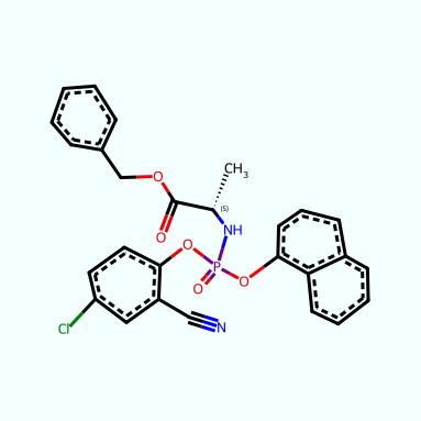 C[C@H](NP(=O)(Oc1ccc(Cl)cc1C#N)Oc1cccc2ccccc12)C(=O)OCc1ccccc1